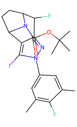 Cc1cc(-n2nc3c(c2I)C2CCC(C3F)N2C(=O)OC(C)(C)C)cc(C)c1F